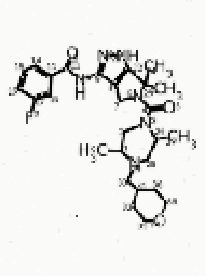 C[C@H]1CN(C(=O)N2Cc3c(NC(=O)c4cccc(F)c4)n[nH]c3C2(C)C)[C@@H](C)CN1CC1CCOCC1